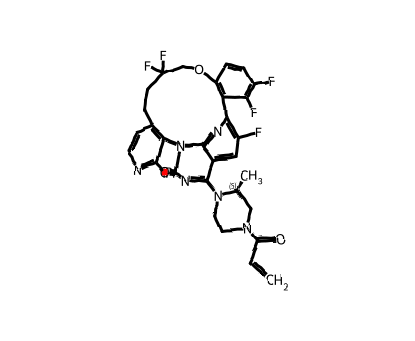 C=CC(=O)N1CCN(c2nc(=O)n3c4nc(c(F)cc24)-c2c(ccc(F)c2F)OCC(F)(F)CCc2ccnc(C(C)C)c2-3)[C@@H](C)C1